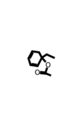 CCC1(OC(C)=O)C=CC=CC1